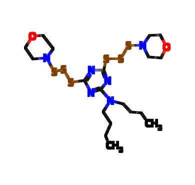 CCCCN(CCCC)c1nc(SSSN2CCOCC2)nc(SSSN2CCOCC2)n1